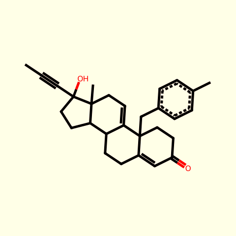 CC#CC1(O)CCC2C3CCC4=CC(=O)CCC4(Cc4ccc(C)cc4)C3=CCC21C